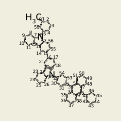 Cc1cccc(-n2c3ccccc3c3cc(-c4ccc5c(c4)c4ccccc4n5-c4ccc(-c5c6ccccc6c(-c6ccccc6)c6ccccc56)cc4)ccc32)c1